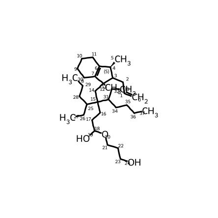 C=CCC1[C@H](C)C2=C(CCCC2)C1(C)CC(CCC(O)OCCCO)(C(CC)CCC)C(CC)CCCC